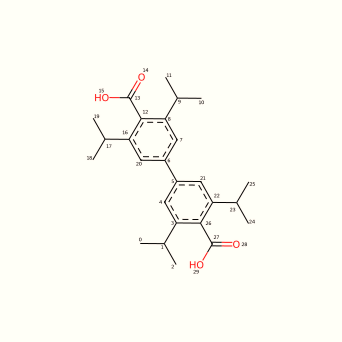 CC(C)c1cc(-c2cc(C(C)C)c(C(=O)O)c(C(C)C)c2)cc(C(C)C)c1C(=O)O